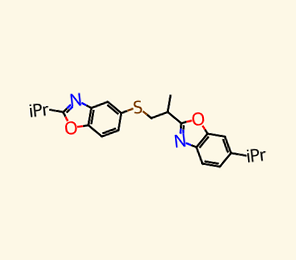 CC(C)c1ccc2nc(C(C)CSc3ccc4oc(C(C)C)nc4c3)oc2c1